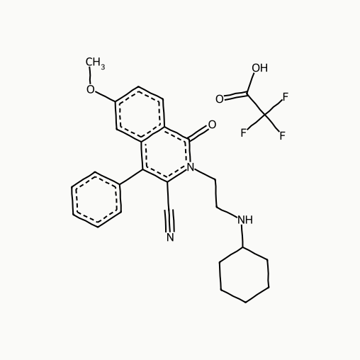 COc1ccc2c(=O)n(CCNC3CCCCC3)c(C#N)c(-c3ccccc3)c2c1.O=C(O)C(F)(F)F